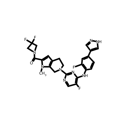 Cn1c(C(=O)N2CC(F)(F)C2)cc2c1CN(c1ncc(F)c(Nc3ccc(-c4cn[nH]c4)cc3F)n1)CC2